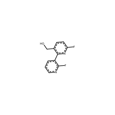 OCc1ccc(F)nc1-c1cccnc1F